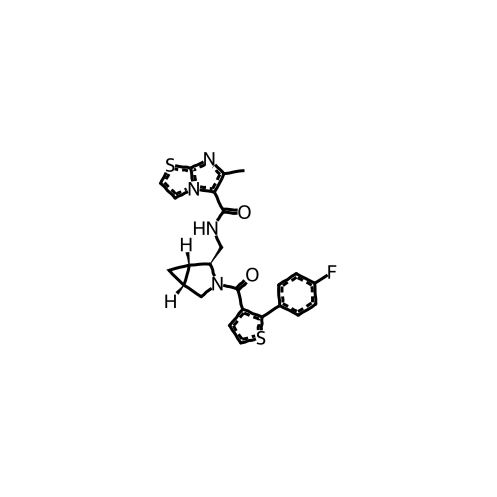 Cc1nc2sccn2c1C(=O)NC[C@@H]1[C@H]2C[C@H]2CN1C(=O)c1ccsc1-c1ccc(F)cc1